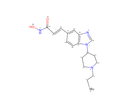 CC(C)(C)CCN1CCC(n2cnc3cc(/C=C/C(=O)NO)ccc32)CC1